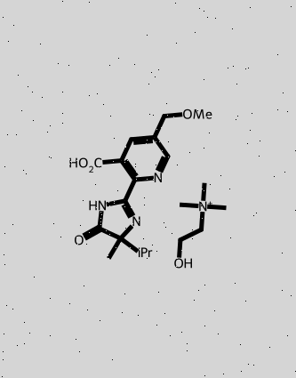 COCc1cnc(C2=NC(C)(C(C)C)C(=O)N2)c(C(=O)O)c1.C[N+](C)(C)CCO